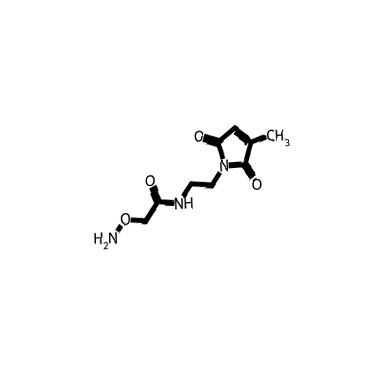 CC1=CC(=O)N(CCNC(=O)CON)C1=O